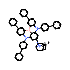 c1ccc(-c2ccc(N3c4ccc(-c5ccccc5)cc4B4c5cc(-c6ccccc6)ccc5N(c5ccc(-c6ccccc6)cc5)c5cc(N6C[C@@H]7CC8CC7CC6C8)cc3c54)cc2)cc1